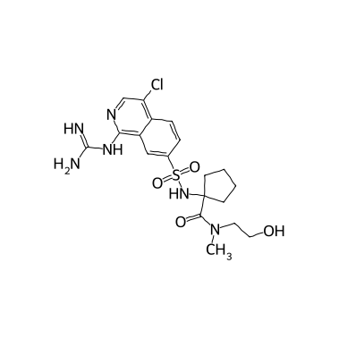 CN(CCO)C(=O)C1(NS(=O)(=O)c2ccc3c(Cl)cnc(NC(=N)N)c3c2)CCCC1